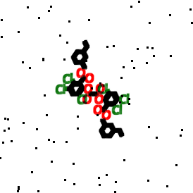 CCC1CCCC(COC(=O)c2c(Cl)c(Cl)cc(Cl)c2OC(=O)C(=O)Oc2c(Cl)cc(Cl)c(Cl)c2C(=O)OCC2CCCC(CC)C2)C1